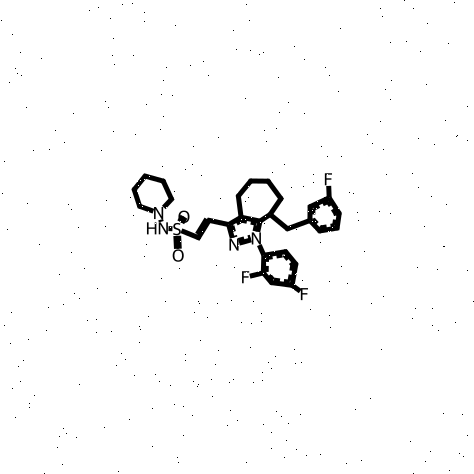 O=S(=O)(C=Cc1nn(-c2ccc(F)cc2F)c2c1CCCCC2Cc1cccc(F)c1)NN1CCCCC1